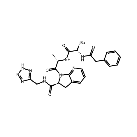 CC[C@H](C)[C@H](NC(=O)Cc1ccccc1)C(=O)N[C@@H](C)C(=O)N1c2ncccc2C[C@H]1C(=O)NCc1nn[nH]n1